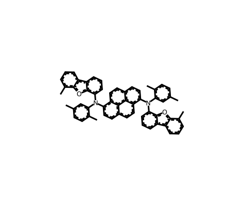 Cc1ccc(C)c(N(c2ccc3ccc4c(N(c5cc(C)ccc5C)c5cccc6c5oc5c(C)cccc56)ccc5ccc2c3c54)c2cccc3c2oc2c(C)cccc23)c1